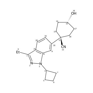 CCc1nn(C2CCC2)c2cc([C@]3(C#N)CC[C@H](O)CC3)ccc12